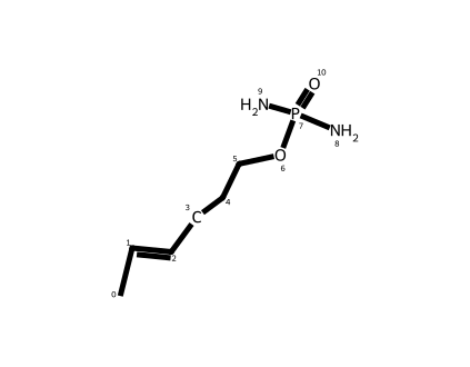 C/C=C/CCCOP(N)(N)=O